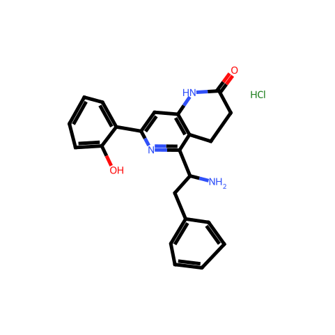 Cl.NC(Cc1ccccc1)c1nc(-c2ccccc2O)cc2c1CCC(=O)N2